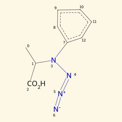 CC(C(=O)O)N(N=[N+]=[N-])c1ccccc1